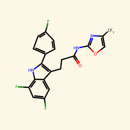 O=C(CCc1c(-c2ccc(F)cc2)[nH]c2c(F)cc(F)cc12)Nc1nc(C(F)(F)F)co1